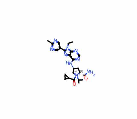 CCn1c(-c2cnc(C)nc2)nc2c(N[C@H]3C[C@H](C(N)=O)[N+](C(=O)C4CC4)(C(C)C)C3)ncnc21